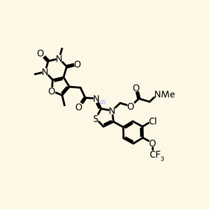 CNCC(=O)OCn1c(-c2ccc(OC(F)(F)F)c(Cl)c2)cs/c1=N\C(=O)Cc1c(C)oc2c1c(=O)n(C)c(=O)n2C